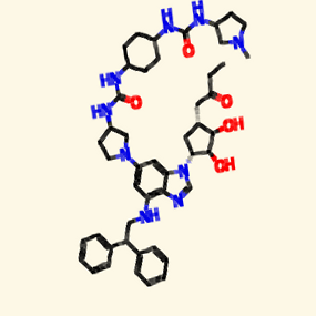 CCC(=O)C[C@H]1C[C@@H](n2cnc3c(NCC(c4ccccc4)c4ccccc4)cc(N4CC[C@@H](NC(=O)NC5CCC(NC(=O)NC6CCN(C)C6)CC5)C4)cc32)[C@H](O)[C@@H]1O